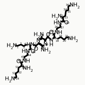 NCCCC[C@H](NC(=O)c1nc(N)c(C(=O)N[C@@H](CCCCN)C(=O)NCCNC(=O)[C@@H](N)CCCCN)nc1N)C(=O)NCCNC(=O)[C@@H](N)CCCCN